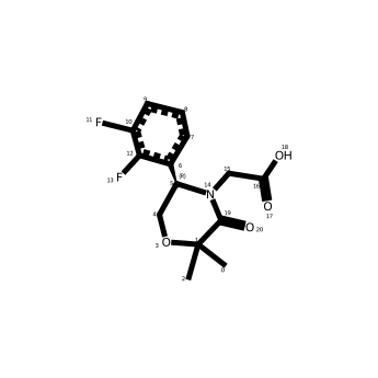 CC1(C)OC[C@@H](c2cccc(F)c2F)N(CC(=O)O)C1=O